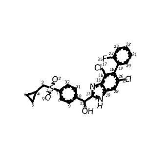 O=S(=O)(CC1CC1)c1ccc(C(O)c2nc3c(Cl)c(-c4ccccc4F)c(Cl)cc3[nH]2)cc1